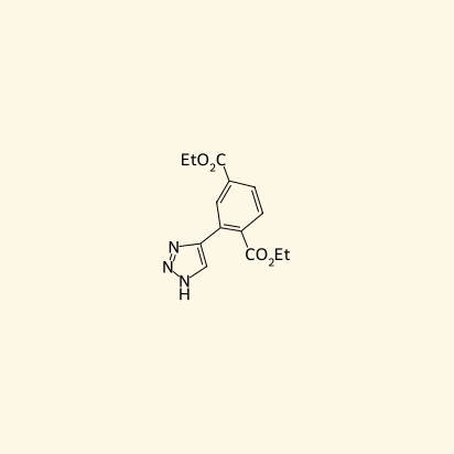 CCOC(=O)c1ccc(C(=O)OCC)c(-c2c[nH]nn2)c1